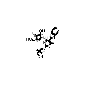 Cc1nc(NCC(C)(C)CO)nc(N[C@@H]2C[C@H](CO)[C@@H](O)[C@H]2O)c1-c1nc2cnccc2s1